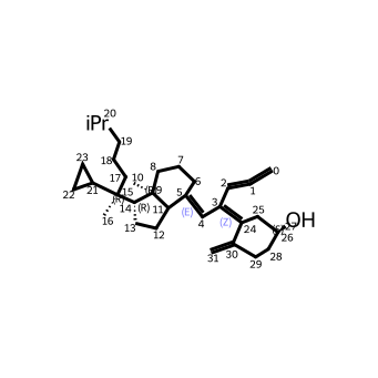 C=C=CC(/C=C1\CCC[C@@]2(C)C1CC[C@@H]2[C@](C)(CCCC(C)C)C1CC1)=C1\C[C@@H](O)CCC1=C